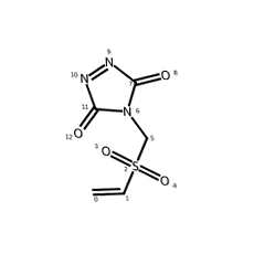 C=CS(=O)(=O)CN1C(=O)N=NC1=O